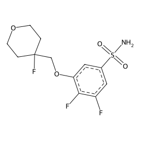 NS(=O)(=O)c1cc(F)c(F)c(OCC2(F)CCOCC2)c1